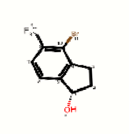 O[C@H]1CCc2c1ccc(C(F)(F)F)c2Br